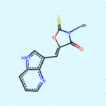 CC(C)N1C(=O)/C(=C/c2c[nH]c3cccnc23)OC1=S